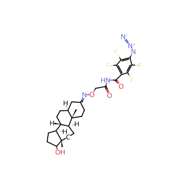 C[C@]12CC/C(=N\OCC(=O)NC(=O)c3c(F)c(F)c(N=[N+]=[N-])c(F)c3F)C[C@@H]1CC[C@@H]1[C@@H]2CC[C@]2(C)[C@@H](O)CC[C@@H]12